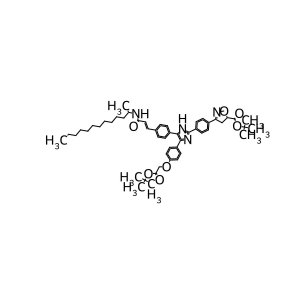 CCCCCCCCCCCC(C)NC(=O)/C=C/c1ccc(-c2[nH]c(-c3ccc(C4=NOC(C(=O)OC(C)(C)C)C4)cc3)nc2-c2ccc(OCC(=O)OC(C)(C)C)cc2)cc1